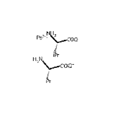 CC(C)[C@H](N)C(=O)[O-].CC(C)[C@H](N)C(=O)[O-].[Pb+2]